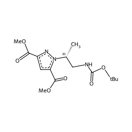 COC(=O)c1cc(C(=O)OC)n([C@H](C)CNC(=O)OC(C)(C)C)n1